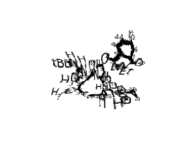 CCn1nc(O[C@@H]2C[C@H]3C(=O)N[C@]4(C(=O)NS(=O)(=O)C5CC5)C[C@H]4C=CCC[C@@H](C)C[C@@H](C)[C@H](NC(=O)NC(C)(C)C)C(=O)N3C2)c2ccccc2c1=O